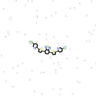 Clc1ccc(-c2ccc(-c3ccc(-c4ccc(-c5ccc(Cl)cn5)s4)c4nsnc34)s2)nc1